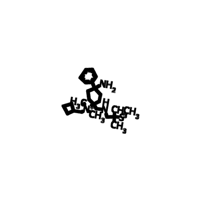 CSC(C)(C)CNCC1([N+](C)(C)CC2CCC2)CCC(N)(c2ccccc2)CC1